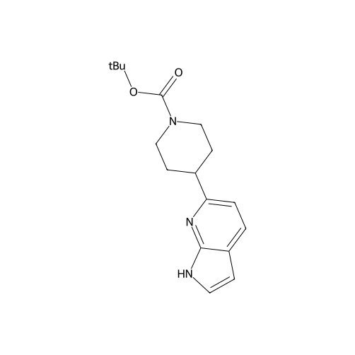 CC(C)(C)OC(=O)N1CCC(c2ccc3cc[nH]c3n2)CC1